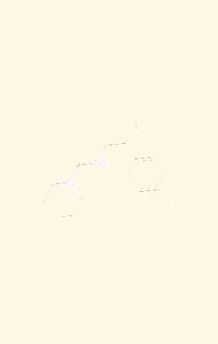 [CH2]C(CNC(=O)N1CCOCC1)c1ccc(Cl)cc1